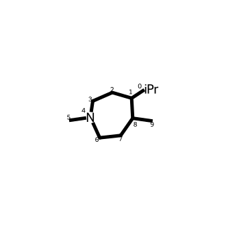 CC(C)C1CCN(C)CCC1C